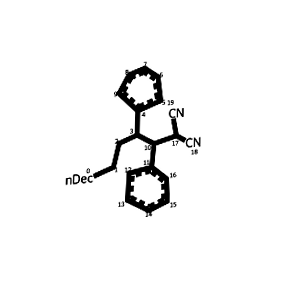 CCCCCCCCCCCCC(c1ccccc1)C(c1ccccc1)C(C#N)C#N